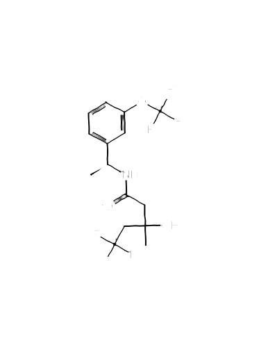 C[C@H](NC(=O)CC(C)(O)CC(F)(F)F)c1cccc(OC(F)(F)F)c1